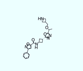 CC(OCC1CNC1)c1nnc([C@H]2C[C@H](NC(=O)c3cc(-c4ccccc4)no3)C2)o1